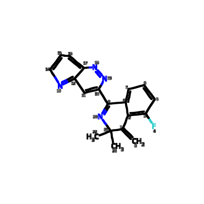 C=C1c2c(F)cccc2C(c2cc3ncccc3nn2)=NC1(C)C